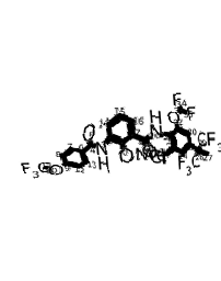 COc1c(NC(=O)c2ccc(OC(F)(F)F)cc2)cccc1C(=O)Nc1c(Cl)cc(C(C)(C(F)(F)F)C(F)(F)F)cc1OC(F)F